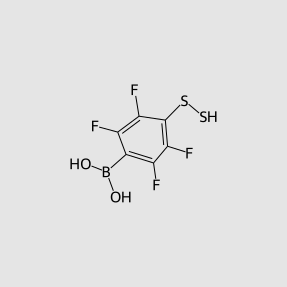 OB(O)c1c(F)c(F)c(SS)c(F)c1F